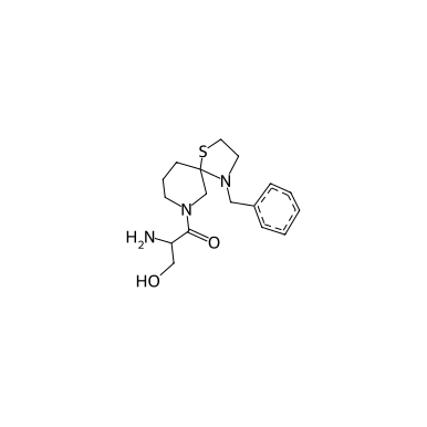 NC(CO)C(=O)N1CCCC2(C1)SCCN2Cc1ccccc1